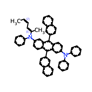 C/C=C\C=C(/C)N(c1ccccc1)c1ccc2c(-c3ccc4ccccc4c3)c3cc(N(c4ccccc4)c4ccccc4)ccc3c(-c3ccc4ccccc4c3)c2c1